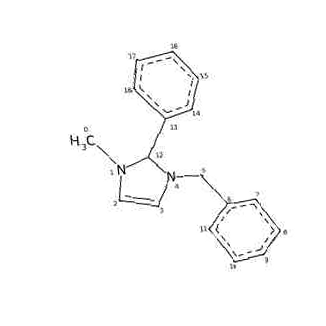 CN1C=CN(Cc2ccccc2)C1c1ccccc1